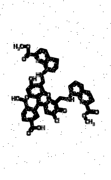 COC(=O)c1ccc2cccc(NCc3c4oc5c(CNc6cccc7ccc(C(=O)OC)nc67)c(O)ccc5c(-c5cc(C(=O)O)ccc5C(=O)O)c-4cc(Cl)c3=O)c2n1